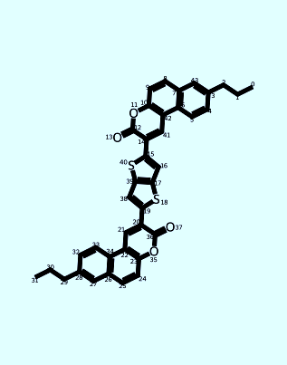 CCCc1ccc2c(ccc3oc(=O)c(-c4cc5sc(-c6cc7c(ccc8cc(CCC)ccc87)oc6=O)cc5s4)cc32)c1